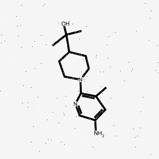 Cc1cc(N)cnc1N1CCC(C(C)(C)O)CC1